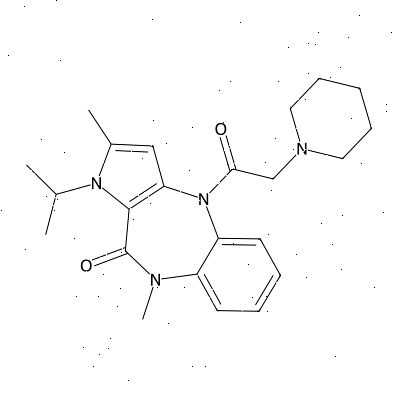 Cc1cc2c(n1C(C)C)C(=O)N(C)c1ccccc1N2C(=O)CN1CCCCC1